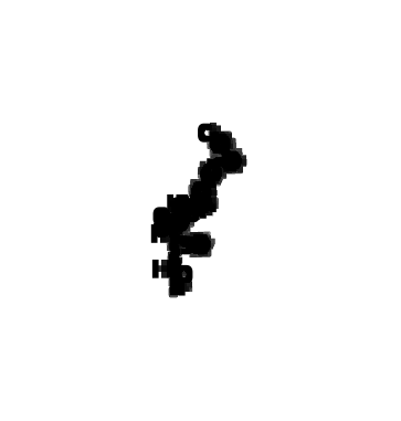 CN(C)CC(=O)NCCCCC(CSc1ccccc1)Nc1ccc(S(=O)(=O)Nc2ncnc3cc(N4CCN(Cc5ccccc5-c5ccc(Cl)cc5)CC4)ccc23)cc1[N+](=O)[O-]